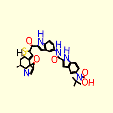 C[C@H]1C[C@H]2SC(C(=O)c3cc4cc(NC(=O)c5cc6cc(N(C(=O)O)C(C)(C)C)ccc6[nH]5)ccc4[nH]3)C=C2C23C(=O)C2=CN=C13